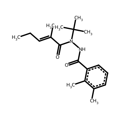 CC/C=C(\C)C(=O)N(NC(=O)c1cccc(C)c1C)C(C)(C)C